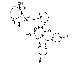 CN(C(=O)O)[C@H](C(=O)N[C@H]1CCCC[C@@H]1CC[C@H]1CN[C@@H]2CCCS(O)(O)N1C2)C(c1ccc(F)cc1)c1ccc(F)cc1